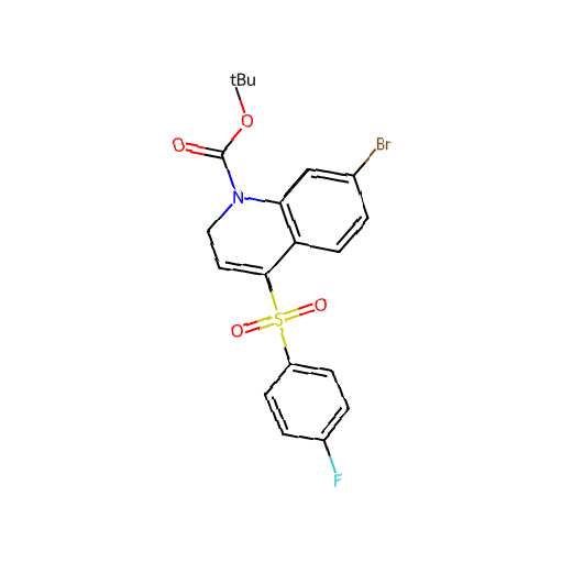 CC(C)(C)OC(=O)N1CC=C(S(=O)(=O)c2ccc(F)cc2)c2ccc(Br)cc21